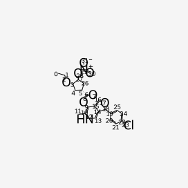 CCO[C@H]1C[C@@H](C(=O)OC2=C(C)NC=C3C2=COC3c2ccc(Cl)cc2)C[C@@H]1O[N+](=O)[O-]